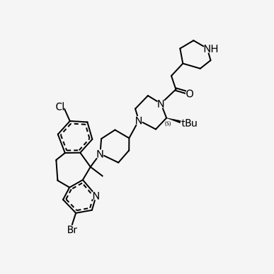 CC(C)(C)[C@H]1CN(C2CCN(C3(C)c4ccc(Cl)cc4CCc4cc(Br)cnc43)CC2)CCN1C(=O)CC1CCNCC1